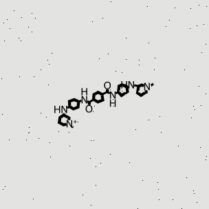 C[n+]1cccc(Nc2ccc(NC(=O)c3ccc(C(=O)Nc4ccc(Nc5ccc[n+](C)c5)cc4)cc3)cc2)c1